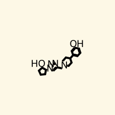 Oc1cccc(C2CCN(Cc3cn([C@@H]4CCC[C@H]4O)nn3)CC2)c1